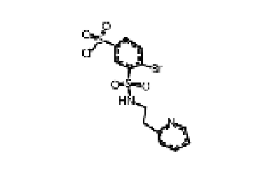 O=S(=O)(Cl)c1ccc(Br)c(S(=O)(=O)NCCc2ccccn2)c1